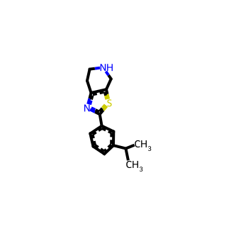 CC(C)c1cccc(-c2nc3c(s2)CNCC3)c1